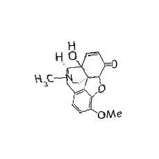 COc1ccc2c3c1OC1C(=O)C=CC4(O)[C@H](C2)N(C)CC[C@@]314